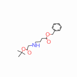 CC(C)(C)OC(=O)CNCCCC(=O)OCc1ccccc1